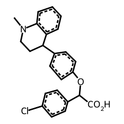 CN1CCC(c2ccc(OC(C(=O)O)c3ccc(Cl)cc3)cc2)c2ccccc21